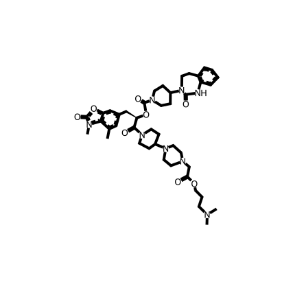 Cc1cc(C[C@@H](OC(=O)N2CCC(N3CCc4ccccc4NC3=O)CC2)C(=O)N2CCC(N3CCN(CC(=O)OCCCN(C)C)CC3)CC2)cc2oc(=O)n(C)c12